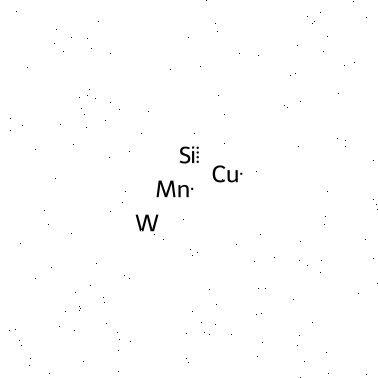 [Cu].[Mn].[Si].[W]